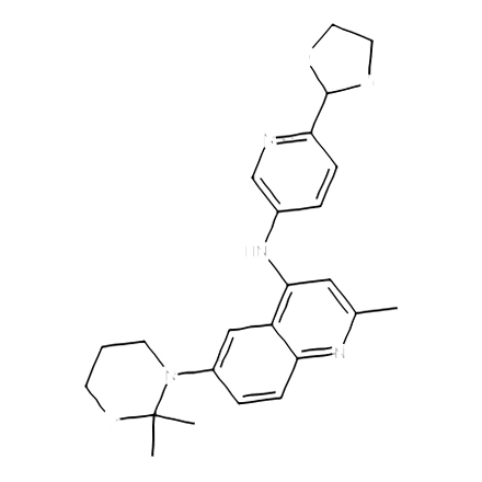 Cc1cc(Nc2ccc(C3OCCO3)nc2)c2cc(N3CCCOC3(C)C)ccc2n1